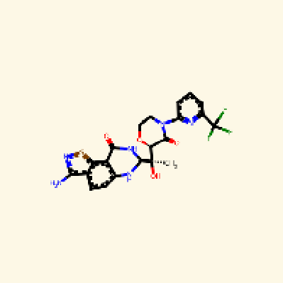 C[C@](O)(C1NC(=O)c2c(ccc3c(N)nsc23)N1)[C@H]1OCCN(c2cccc(C(F)(F)F)n2)C1=O